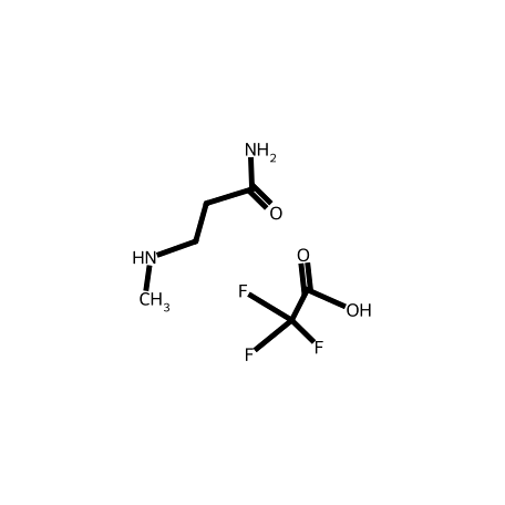 CNCCC(N)=O.O=C(O)C(F)(F)F